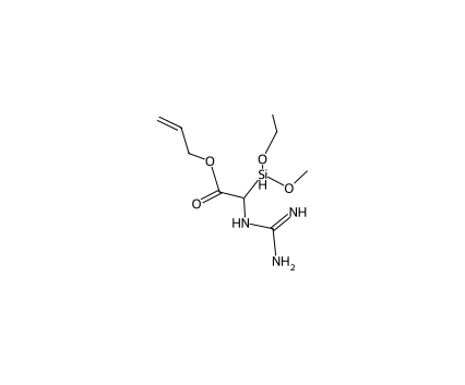 C=CCOC(=O)C(NC(=N)N)[SiH](OC)OCC